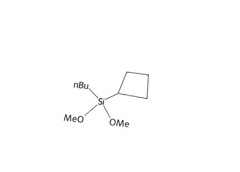 CCCC[Si](OC)(OC)C1CCC1